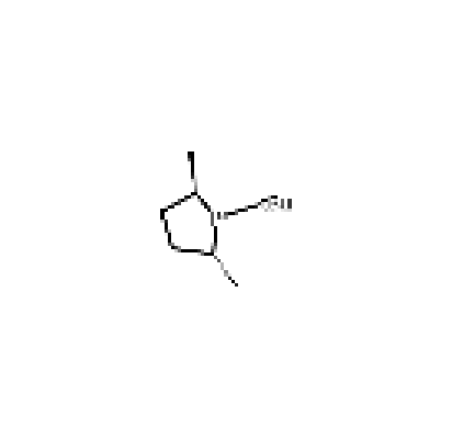 C[C@@H]1CC[C@@H](C)P1C(C)(C)C